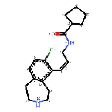 O=C(NC/C=C\c1c(Cl)ccc2c1CCNCC2)C1CCCC1